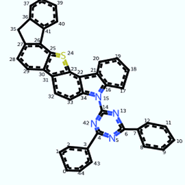 c1ccc(-c2nc(-c3ccccc3)nc(-n3c4ccccc4c4c5sc6c7c(ccc6c5ccc43)Cc3ccccc3-7)n2)cc1